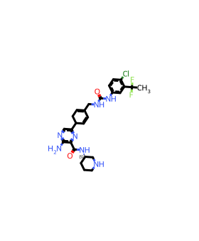 CC(F)(F)c1cc(NC(=O)NCC2=CCC(c3cnc(N)c(C(=O)N[C@H]4CCCNC4)n3)C=C2)ccc1Cl